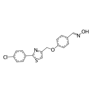 ON=Cc1ccc(OCc2csc(-c3ccc(Cl)cc3)n2)cc1